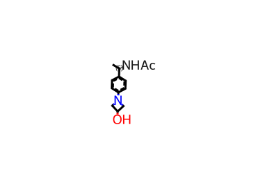 CC(=O)N[C@@H](C)c1ccc(N2CC(O)C2)cc1